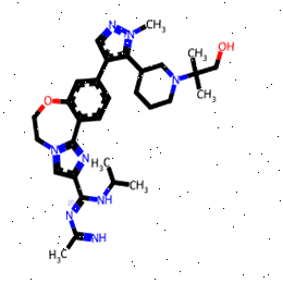 CC(=N)/N=C(\NC(C)C)c1cn2c(n1)-c1ccc(-c3cnn(C)c3C3CCCN(C(C)(C)CO)C3)cc1OCC2